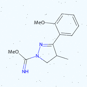 COC(=N)N1CC(C)C(c2ccccc2OC)=N1